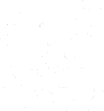 C[C@@H](CCN1CC2CN(C(=O)c3c(F)cccc3Cl)CC2C1)c1ccccc1